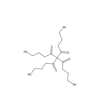 S=C(CCCS)C(C(=S)CCCS)(C(=S)CCCS)C(=S)CCCS